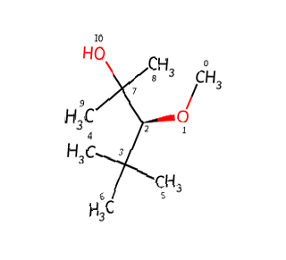 CO[C@@H](C(C)(C)C)C(C)(C)O